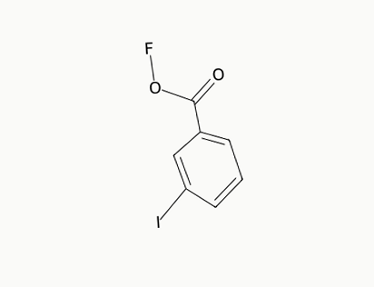 O=C(OF)c1cccc(I)c1